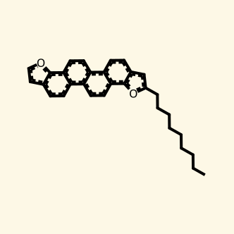 CCCCCCCCCc1cc2ccc3c4ccc5c(ccc6ccoc65)c4ccc3c2o1